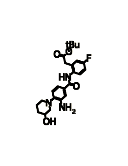 CC(C)(C)OC(=O)Cc1cc(F)ccc1NC(=O)c1ccc(N2CCCC(O)C2)c(N)c1